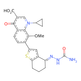 COc1c(-c2cc3c(s2)CCCC3=NNC(N)=O)ccc2c(=O)c(C(=O)O)cn(C3CC3)c12